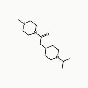 CC(C)N1CCC(CC(=O)N2CCN(C)CC2)CC1